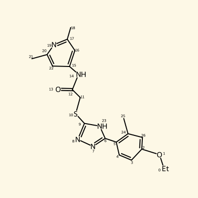 CCOc1ccc(-c2nnc(SCC(=O)Nc3cc(C)nc(C)c3)[nH]2)c(C)c1